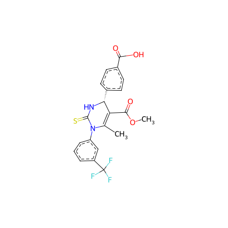 COC(=O)C1=C(C)N(c2cccc(C(F)(F)F)c2)C(=S)N[C@@H]1c1ccc(C(=O)O)cc1